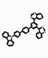 c1ccc2c(-c3cc(-c4ccc(-c5ccc(-n6c7ccccc7c7ccccc76)cc5)cc4)cc(-c4ncnc5ccccc45)c3)ncnc2c1